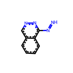 N=Nc1nncc2ccccc12